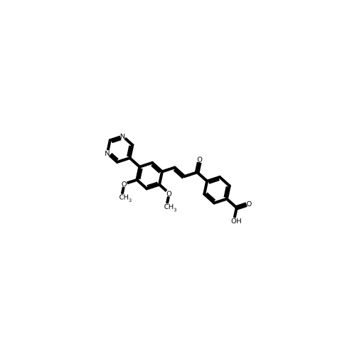 COc1cc(OC)c(-c2cncnc2)cc1C=CC(=O)c1ccc(C(=O)O)cc1